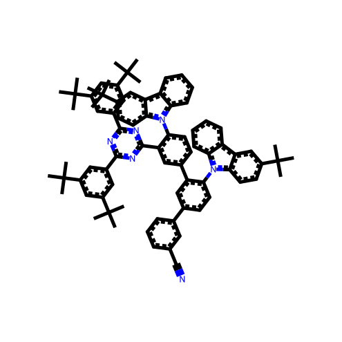 CC(C)(C)c1cc(-c2nc(-c3cc(C(C)(C)C)cc(C(C)(C)C)c3)nc(-c3cc(-c4cc(-c5cccc(C#N)c5)ccc4-n4c5ccccc5c5cc(C(C)(C)C)ccc54)ccc3-n3c4ccccc4c4cc(C(C)(C)C)ccc43)n2)cc(C(C)(C)C)c1